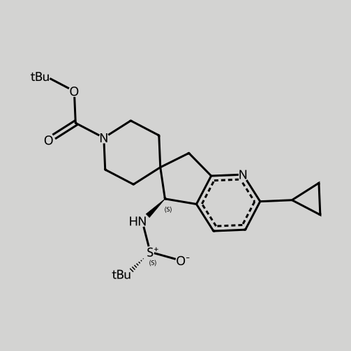 CC(C)(C)OC(=O)N1CCC2(CC1)Cc1nc(C3CC3)ccc1[C@H]2N[S@+]([O-])C(C)(C)C